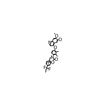 COc1cc2nccc(Oc3ccc(N(Cc4ccc(C(F)(F)F)cc4)C(=O)O)c(C)c3C)c2cc1OC